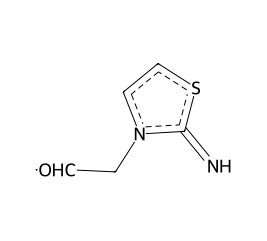 N=c1sccn1C[C]=O